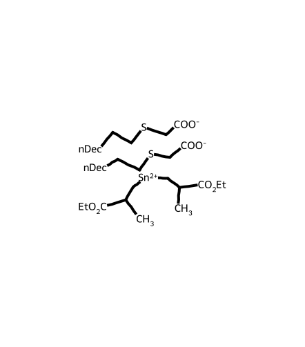 CCCCCCCCCCCCSCC(=O)[O-].CCCCCCCCCCCCSCC(=O)[O-].CCOC(=O)C(C)[CH2][Sn+2][CH2]C(C)C(=O)OCC